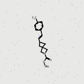 CC(C)(C)OC(=O)N1CC2(CC(/C=C/c3ccc(C(F)(F)F)cc3)C2)C1